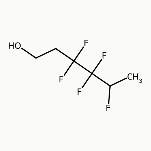 CC(F)C(F)(F)C(F)(F)CCO